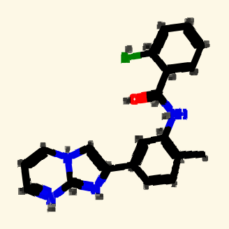 Cc1ccc(-c2cn3cccnc3n2)cc1NC(=O)c1ccccc1Br